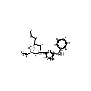 CCCCC[C@H](CN(O)C=O)c1nnc(Nc2ccccc2)o1